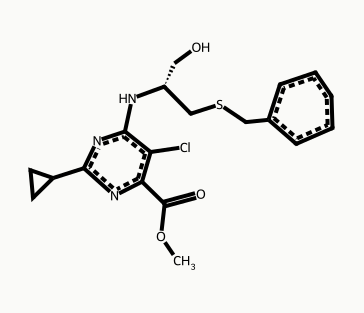 COC(=O)c1nc(C2CC2)nc(N[C@H](CO)CSCc2ccccc2)c1Cl